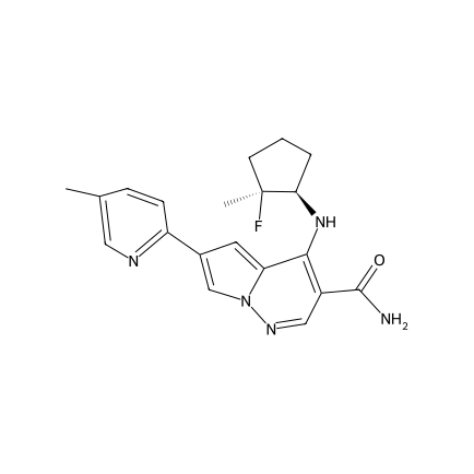 Cc1ccc(-c2cc3c(N[C@@H]4CCC[C@]4(C)F)c(C(N)=O)cnn3c2)nc1